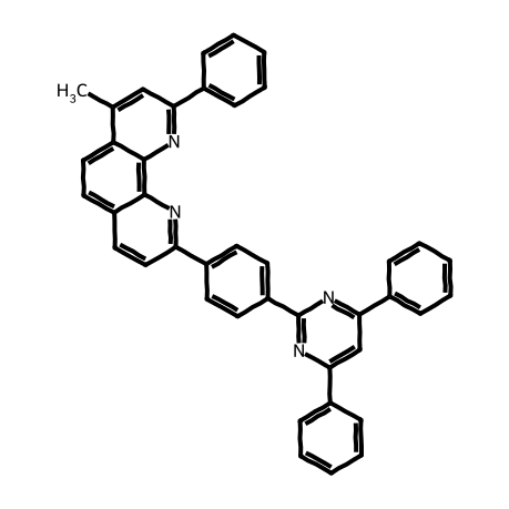 Cc1cc(-c2ccccc2)nc2c1ccc1ccc(-c3ccc(-c4nc(-c5ccccc5)cc(-c5ccccc5)n4)cc3)nc12